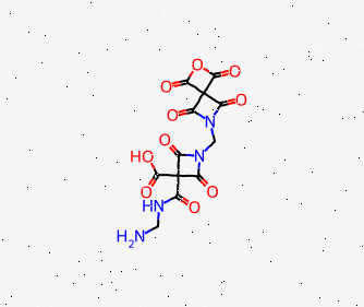 NCNC(=O)C1(C(=O)O)C(=O)N(CN2C(=O)C3(C(=O)OC3=O)C2=O)C1=O